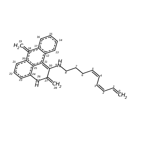 C=C/C=C\C=C/CCCNC1=c2c3ccccc3c(=C)c3cccc(c23)NC1=C